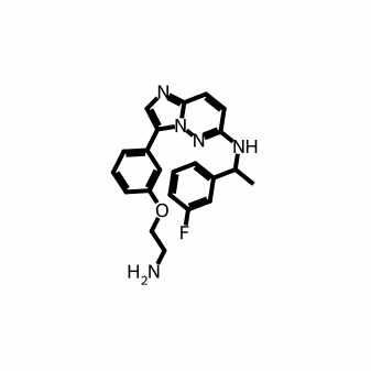 CC(Nc1ccc2ncc(-c3cccc(OCCN)c3)n2n1)c1cccc(F)c1